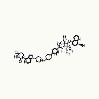 CC1(C)C(NC(=O)c2ccc(N3CCC(CN4CCC(n5ccc6c(N7CCC(=O)NC7=O)nccc65)CC4)CC3)nn2)C(C)(C)C1Oc1ccc(C#N)c2ncccc12